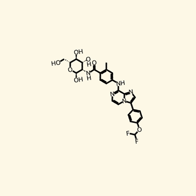 Cc1cc(Nc2nccn3c(-c4ccc(OC(F)F)cc4)cnc23)ccc1C(=O)N[C@H]1[C@@H](O)[C@H](O)[C@@H](CO)O[C@@H]1O